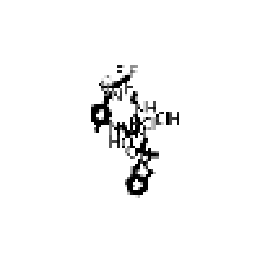 CCNCCN(CC(=O)N(C)N1Cc2ccccc2C1)C(=O)CNc1cc(-c2noc(C(F)(F)F)n2)ccc1C.Cl.Cl